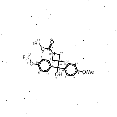 COc1ccc(C(O)(c2ccc(OC(F)(F)F)cc2)C2(C)CN(C(=O)OC(C)(C)C)C2)cc1